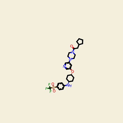 O=C(CC1CCCC1)N1CCN(c2cncc(O[C@H]3CC[C@H](Nc4ccc(S(=O)(=O)C(F)(F)F)cc4)CC3)c2)CC1